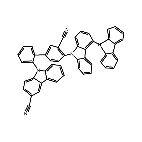 N#Cc1ccc2c(c1)c1ccccc1n2-c1ccccc1-c1ccc(-n2c3ccccc3c3c(-n4c5ccccc5c5ccccc54)cccc32)c(C#N)c1